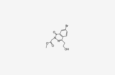 COC(=O)Cn1nc(CCO)c2ccc(Br)cc2c1=O